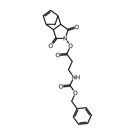 O=C(CCNC(=O)OCc1ccccc1)ON1C(=O)C2C3C=CC(C3)C2C1=O